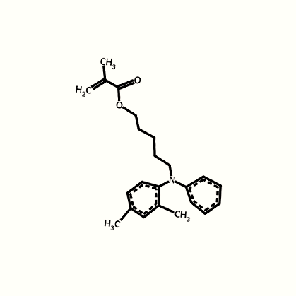 C=C(C)C(=O)OCCCCCN(c1ccccc1)c1ccc(C)cc1C